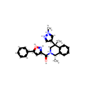 C[C@H]1c2ccccc2[C@@](C)(c2cnn(C)c2)CN1C(=O)c1cc(-c2ccccc2)on1